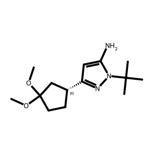 COC1(OC)CC[C@@H](c2cc(N)n(C(C)(C)C)n2)C1